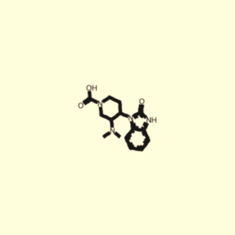 CN(C)C1CN(C(=O)O)CCC1n1c(=O)[nH]c2ccccc21